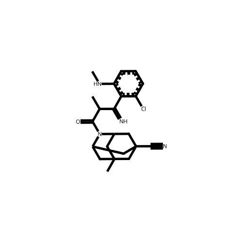 CNc1cccc(Cl)c1C(=N)C(C)C(=O)N1C2CC3(C)CC1CC(C#N)(C2)C3